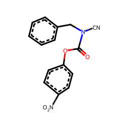 N#CN(Cc1ccccc1)C(=O)Oc1ccc([N+](=O)[O-])cc1